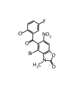 Cn1c(=O)oc2cc([N+](=O)[O-])c(C(=O)c3cc(F)ccc3Cl)c(Br)c21